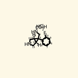 Cl.O=C(O)NCC1(c2ccccc2F)[C@@H]2CNC[C@@H]21